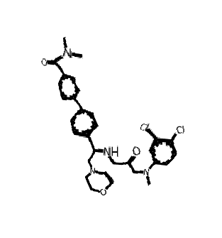 CN(C)C(=O)c1ccc(-c2ccc(C(CN3CCOCC3)NCC(=O)CN(C)c3ccc(Cl)c(Cl)c3)cc2)cc1